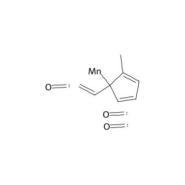 C=C[C]1([Mn])C=CC=C1C.[C]=O.[C]=O.[C]=O